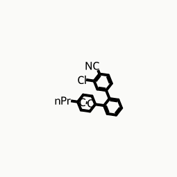 CCCC12CCC(c3ccccc3-c3ccc(C#N)c(Cl)c3)(CC1)CC2